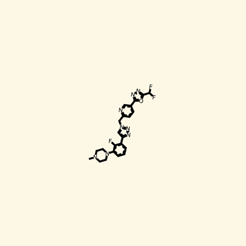 CN1CCN(c2cccc(-c3cn(Cc4ccc(-c5nnc(C(F)F)o5)cn4)nn3)c2F)CC1